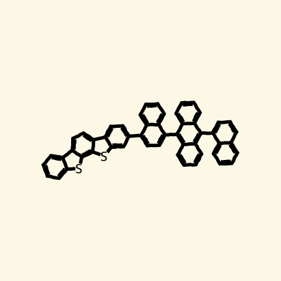 c1ccc2c(-c3c4ccccc4c(-c4ccc(-c5ccc6c(c5)sc5c6ccc6c7ccccc7sc65)c5ccccc45)c4ccccc34)cccc2c1